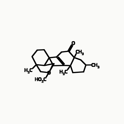 CC1CCC2(C)C3=C(CC(=O)C2(C)C1)C12CCCC(C)(COC1)C2C(C(=O)O)C3